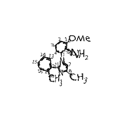 COc1cccc(-n2cc(C)nc2-c2ccccc2C)c1N